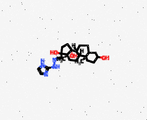 C[C@]12CCC(O)CC1CC[C@@H]1[C@H]2CC[C@]2(C)C(O)(/C=N/Nc3ncc[nH]3)CC[C@@]12O